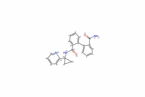 NC(=O)c1ccccc1-c1ccccc1C(=O)NC1(c2ccccn2)CC1